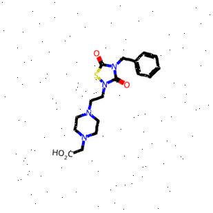 O=C(O)CN1CCN(CCn2sc(=O)n(Cc3ccccc3)c2=O)CC1